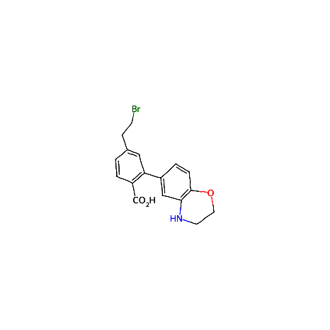 O=C(O)c1ccc(CCBr)cc1-c1ccc2c(c1)NCCO2